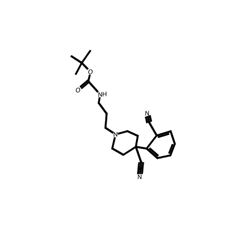 CC(C)(C)OC(=O)NCCCN1CCC(C#N)(c2ccccc2C#N)CC1